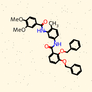 COc1ccc(C(=O)Nc2cc(NC(=O)c3cccc(OCc4ccccc4)c3OCc3ccccc3)ccc2C)cc1OC